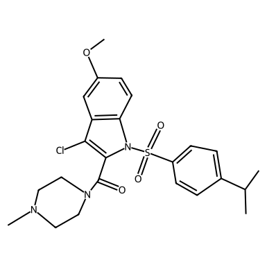 COc1ccc2c(c1)c(Cl)c(C(=O)N1CCN(C)CC1)n2S(=O)(=O)c1ccc(C(C)C)cc1